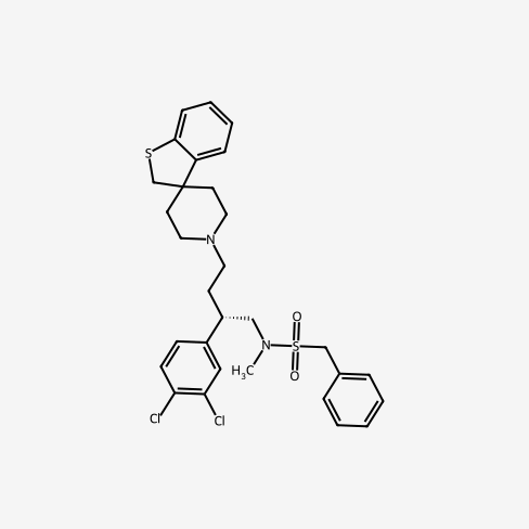 CN(C[C@@H](CCN1CCC2(CC1)CSc1ccccc12)c1ccc(Cl)c(Cl)c1)S(=O)(=O)Cc1ccccc1